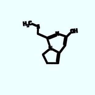 CSCC1=NC(O)=CC2=CCCN21